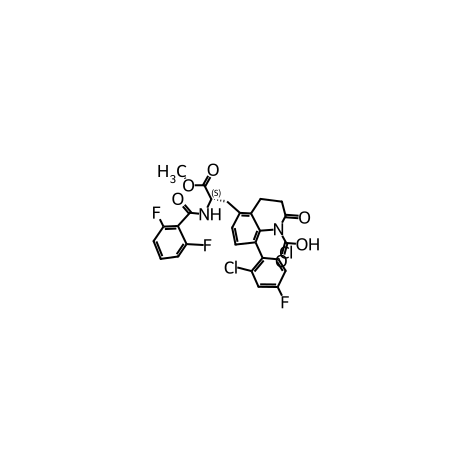 COC(=O)[C@H](Cc1ccc(-c2c(Cl)cc(F)cc2Cl)c2c1CCC(=O)N2C(=O)O)NC(=O)c1c(F)cccc1F